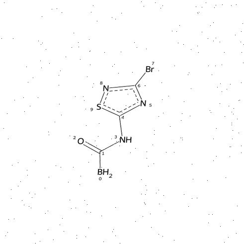 BC(=O)Nc1nc(Br)ns1